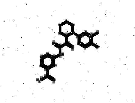 Cc1ccc([C@@H]2CCCCN2C(=O)C(=O)Nc2cncc(C(N)=O)c2)cc1C